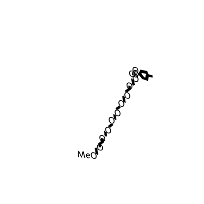 COCCOCCOCCOCCOCCOCCOCCOCCOCCOS(=O)(=O)c1ccc(C)cc1